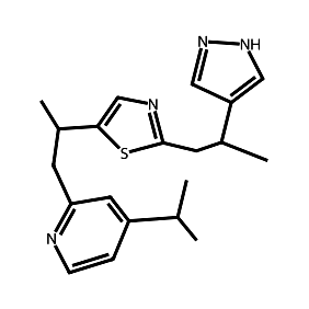 CC(C)c1ccnc(CC(C)c2cnc(CC(C)c3cn[nH]c3)s2)c1